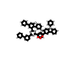 c1ccc(-c2cccc(-c3nc(-c4ccccc4)nc(-c4cc(-c5ccccc5)cc5oc6ccc(-n7c8ccccc8c8cc9c%10ccccc%10n(-c%10ccccc%10)c9cc87)cc6c45)n3)c2)cc1